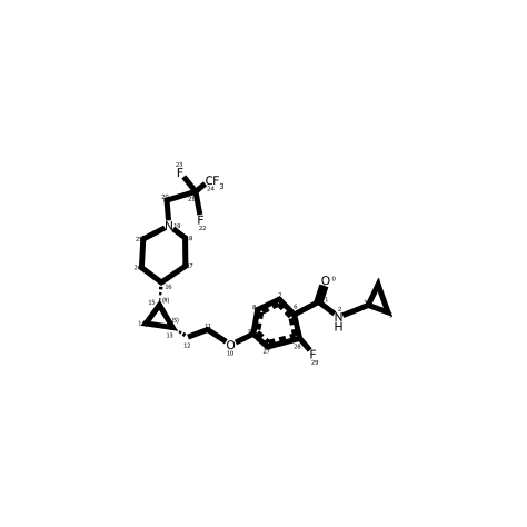 O=C(NC1CC1)c1ccc(OCC[C@@H]2C[C@@H]2C2CCN(CC(F)(F)C(F)(F)F)CC2)cc1F